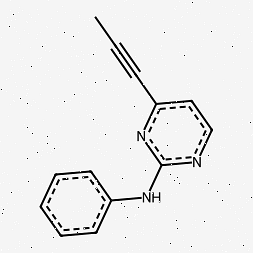 CC#Cc1ccnc(Nc2ccccc2)n1